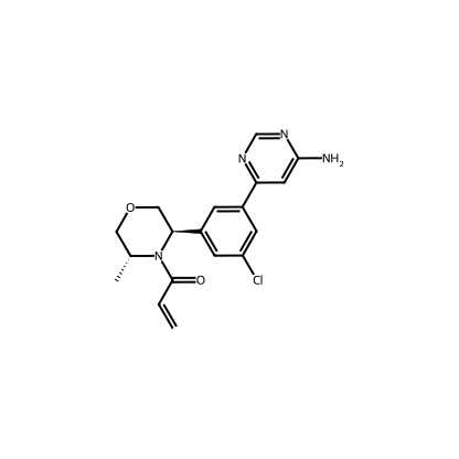 C=CC(=O)N1[C@H](C)COC[C@H]1c1cc(Cl)cc(-c2cc(N)ncn2)c1